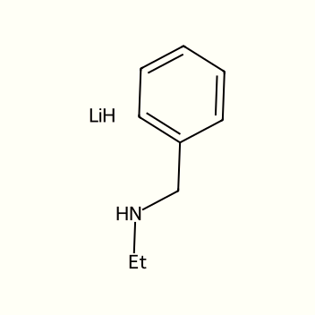 CCNCc1ccccc1.[LiH]